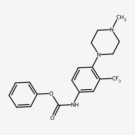 CN1CCN(c2ccc(NC(=O)Oc3ccccc3)cc2C(F)(F)F)CC1